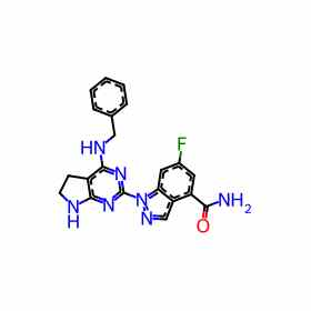 NC(=O)c1cc(F)cc2c1cnn2-c1nc2c(c(NCc3ccccc3)n1)CCN2